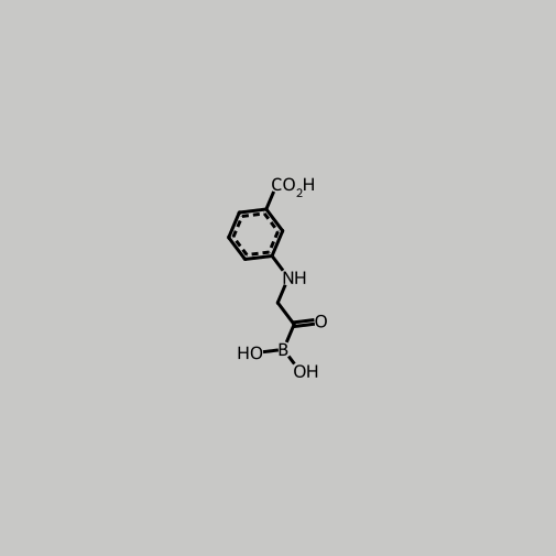 O=C(CNc1cccc(C(=O)O)c1)B(O)O